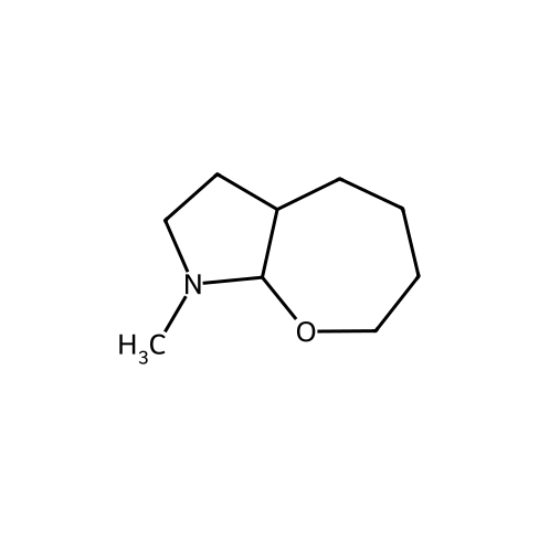 CN1CCC2CCCCOC21